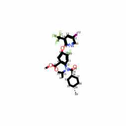 COC(=O)c1cc(Oc2ncc(I)cc2C(F)(F)F)c(F)cc1N(C(=O)[C@H]1CC[C@H](C)CC1)C(C)C